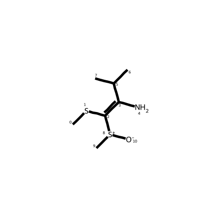 CS/C(=C(/N)C(C)C)[S+](C)[O-]